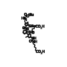 CSc1sc(C=NNC(=O)OC(C)(C)C)cc1S(=O)(=O)c1cccc(-c2c(C)cc(NC(=O)NCCCCCC(=O)O)cc2NC(=O)CCCC(=O)O)c1